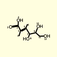 CC(C(=O)O)=C(C)C(O)C(O)CO